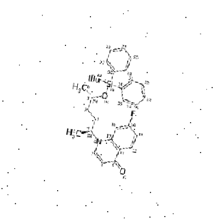 C[C@@H](CC[C@H](C)n1ccc(=O)c2ccc(F)cc21)O[Si](c1ccccc1)(c1ccccc1)C(C)(C)C